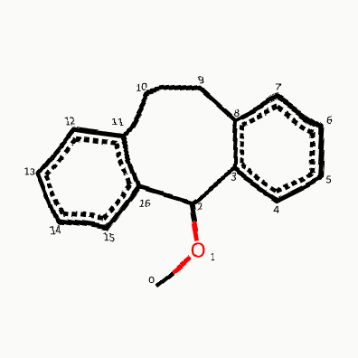 COC1c2ccccc2CCc2ccccc21